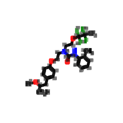 CCOC(Cc1ccc(OCCN(CCOC(F)(F)C(F)(F)C(F)(F)F)C(=O)Nc2ccccc2C)cc1)C(=O)O